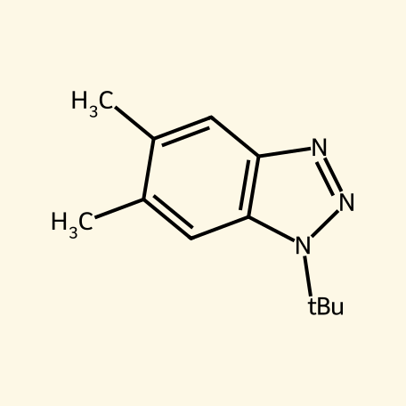 Cc1cc2nnn(C(C)(C)C)c2cc1C